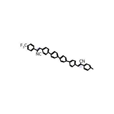 [C-]#[N+]/C(=C\c1ccc(-c2ccc(-c3ccc(-c4ccc(/C=C(\C#N)c5ccc(C)cc5)cc4)cc3)cc2)cc1)c1ccc(C(F)(F)F)cc1